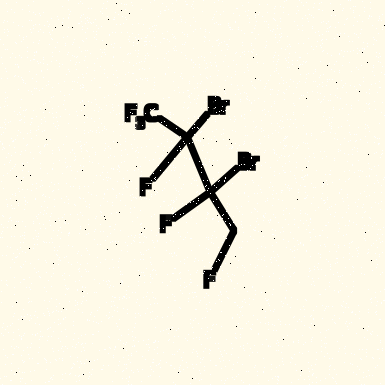 FCC(F)(Br)C(F)(Br)C(F)(F)F